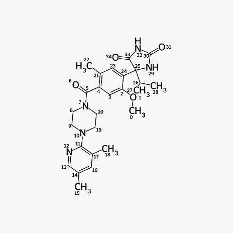 COc1cc(C(=O)N2CCN(c3ncc(C)cc3C)CC2)c(C)cc1C1(C(C)C)NC(=O)NC1=O